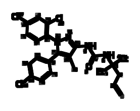 C=CCC(CC)(CC)NC(=O)Nc1nn(-c2ccc(Cl)cc2Cl)c(-c2ccc(Cl)cc2)c1C